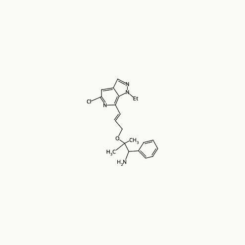 CCn1ncc2cc(Cl)nc(C=CCOC(C)(C)C(N)c3ccccc3)c21